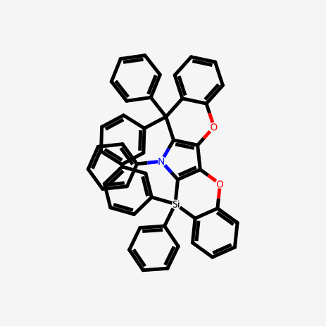 c1ccc(-n2c3c(c4c2[Si](c2ccccc2)(c2ccccc2)c2ccccc2O4)Oc2ccccc2C3(c2ccccc2)c2ccccc2)cc1